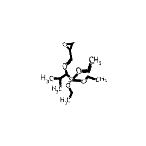 CCO[Si](OCC)(OCC)C(OCC1CO1)C(C)C